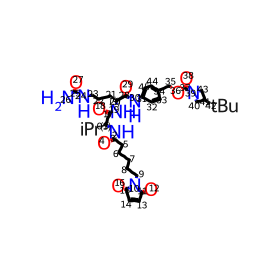 CC(C)[C@H](NC(=O)CCCCCN1C(=O)C=CC1=O)C(=O)N[C@@H](CCCNC(N)=O)C(=O)Nc1ccc(COC(=O)N2CC(C(C)(C)C)C2)cc1